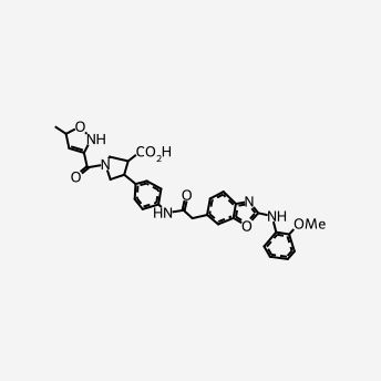 COc1ccccc1Nc1nc2ccc(CC(=O)Nc3ccc(C4CN(C(=O)C5=CC(C)ON5)CC4C(=O)O)cc3)cc2o1